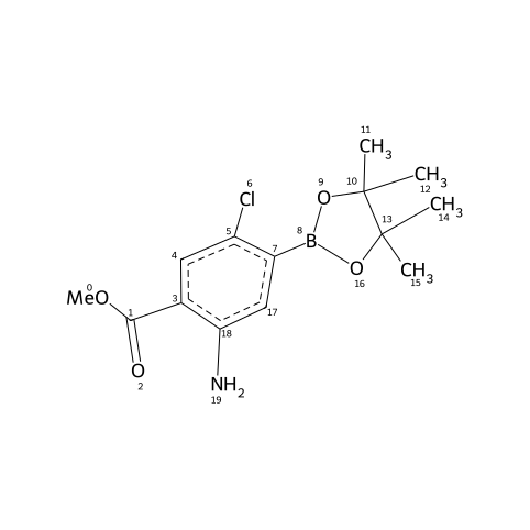 COC(=O)c1cc(Cl)c(B2OC(C)(C)C(C)(C)O2)cc1N